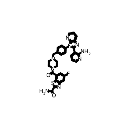 NC(=O)c1nc2cc(F)cc(C(=O)N3CCN(Cc4ccc(-n5c(-c6cccnc6N)nc6cccnc65)cc4)CC3)c2s1